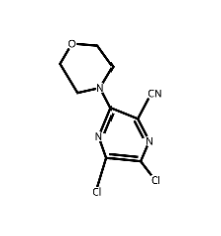 N#Cc1nc(Cl)c(Cl)nc1N1CCOCC1